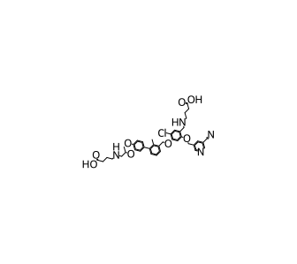 Cc1c(COc2cc(OCc3cncc(C#N)c3)c(CNCCCC(=O)O)cc2Cl)cccc1-c1ccc2c(c1)OC(CNCCCC(=O)O)CO2